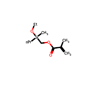 C=C(C)C(=O)OC[Si](C)(CCC)OCC